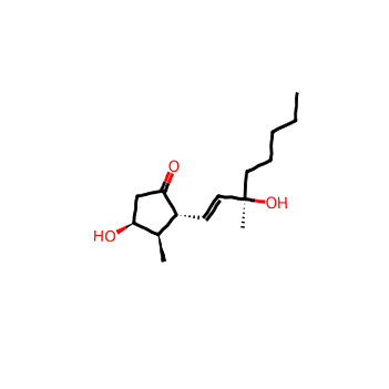 CCCCC[C@@](C)(O)/C=C/[C@H]1C(=O)C[C@H](O)[C@@H]1C